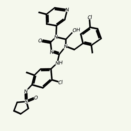 Cc1cncc(N2C(=O)N=C(Nc3cc(C)c(N=S4(=O)CCCC4)cc3Cl)N(Cc3cc(Cl)ccc3C)C2O)c1